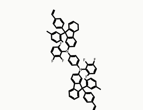 C=Cc1ccc(C2(c3cc(C)ccc3C)C3=C(CCC=C3)c3ccc(N(c4ccc(N(c5ccc6c(c5)C(c5ccc(C=C)cc5)(c5cc(C)ccc5C)c5ccccc5-6)c5c(F)ccc(F)c5F)cc4)c4c(F)ccc(F)c4F)cc32)cc1